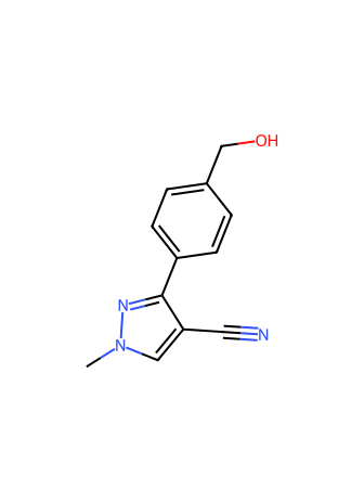 Cn1cc(C#N)c(-c2ccc(CO)cc2)n1